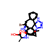 Cc1ccc2[nH]c3c(Br)c2c1C1(NN=NN1C1CC1C(=O)N[C@@H](C)C(=O)O)c1ccccc1-3